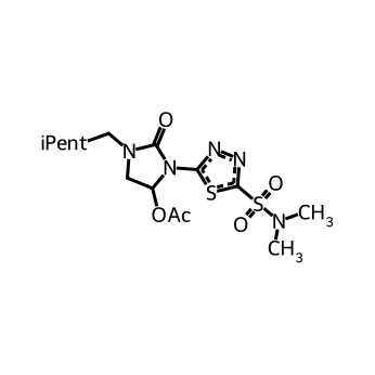 CCCC(C)CN1CC(OC(C)=O)N(c2nnc(S(=O)(=O)N(C)C)s2)C1=O